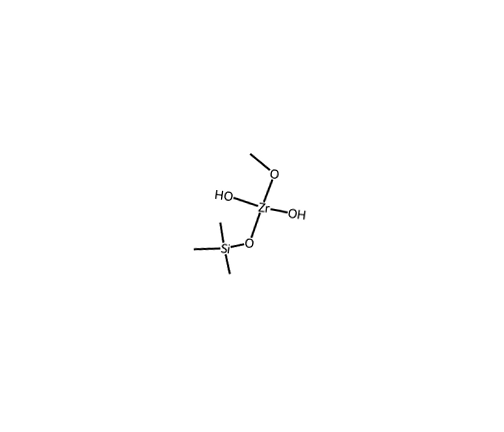 C[O][Zr]([OH])([OH])[O][Si](C)(C)C